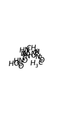 CNc1cc(-c2ccc(N3CC[C@H](OC)C3)c3nccn23)nc2c(C(=O)NC3COCC3O)cnn12